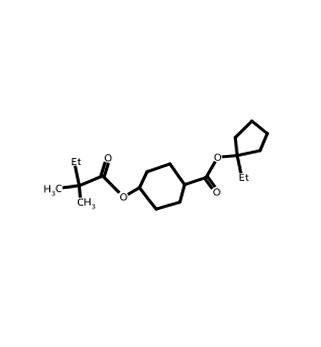 CCC1(OC(=O)C2CCC(OC(=O)C(C)(C)CC)CC2)CCCC1